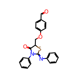 O=Cc1ccc(OCC2SC(=Nc3ccccc3)N(c3ccccc3)C2=O)cc1